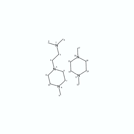 CN(C)CCN1CCN(C)CC1.CN1CCN(C)CC1